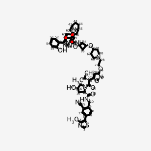 Cc1ncsc1-c1ccc(CNC(=O)[C@@H]2C[C@@H](O)CN2C(=O)[C@H](c2cc(OCCN3CCC(O[C@H]4C[C@H](Oc5cc(N6C7CCC6CN(c6cc(-c8ccccc8O)nnc6N)C7)ccn5)C4)CC3)no2)C(C)C)c(C#N)c1